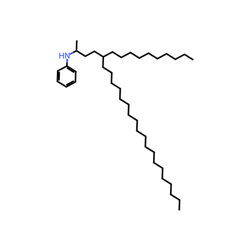 CCCCCCCCCCCCCCCCCCCC(CCCCCCCCCC)CCC(C)Nc1ccccc1